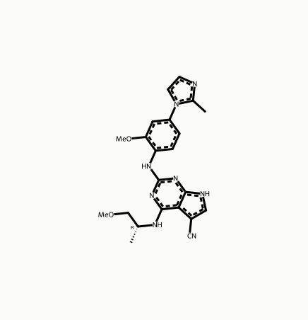 COC[C@@H](C)Nc1nc(Nc2ccc(-n3ccnc3C)cc2OC)nc2[nH]cc(C#N)c12